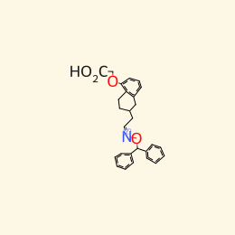 O=C(O)COc1cccc2c1CCC(C/C=N\OC(c1ccccc1)c1ccccc1)C2